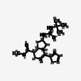 COC(=O)C1=C2CC(N[S+]([O-])NC(C)(C)C)CN2C(C2=NC=CC2)=NC1